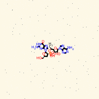 C[C@H](OP(=O)(O)[C@@H]1C[C@@H](CO)OC1n1cnc2c(=O)[nH]c(N)nc21)[C@@H]1O[C@@H](n2cnc3c(N)ncnc32)[C@H](O)[C@@H]1O